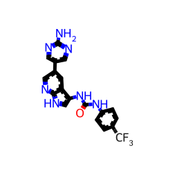 Nc1ncc(-c2cnc3[nH]cc(NC(=O)Nc4ccc(C(F)(F)F)cc4)c3c2)cn1